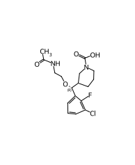 CC(=O)NCCO[C@@H](c1cccc(Cl)c1F)C1CCCN(C(=O)O)C1